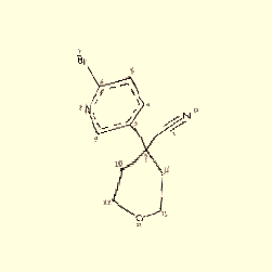 N#CC1(c2ccc(Br)nc2)CCOCC1